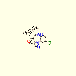 CC(=O)C1(C)Nc2cc(Cl)ccc2NC2=C1C(=O)CC(C)(C)C2